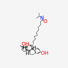 CC(C)N(C)C(=O)CCCCCCCCCC[C@H]1C[C@@]2(C)[C@@H](CC[C@]2(C)O)[C@@H]2CCc3cc(O)ccc3[C@@H]12